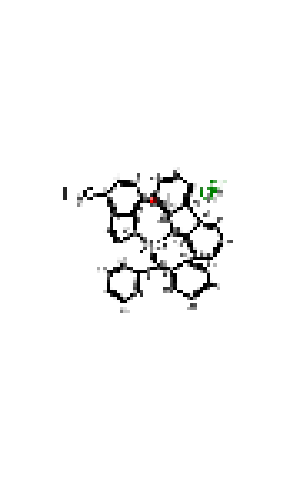 Cc1ccc(C)c2c1C=C[CH]2[Zr+2](=[C](c1ccccc1)c1ccccc1)[CH]1c2ccccc2-c2ccccc21.[Cl-].[Cl-]